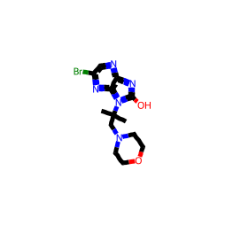 CC(C)(CN1CCOCC1)n1c(O)nc2ncc(Br)nc21